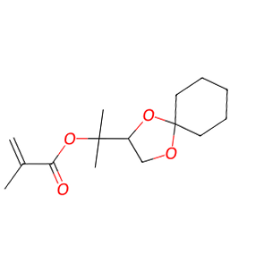 C=C(C)C(=O)OC(C)(C)C1COC2(CCCCC2)O1